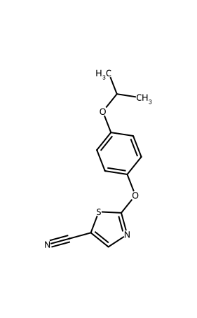 CC(C)Oc1ccc(Oc2ncc(C#N)s2)cc1